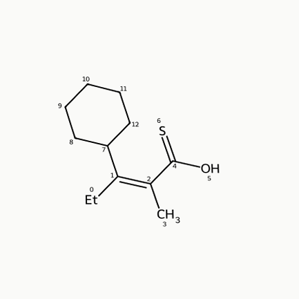 CCC(=C(C)C(O)=S)C1CCCCC1